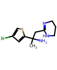 CC(N)(CC1=NCCCN1)c1cc(Br)cs1